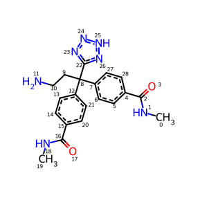 CNC(=O)c1ccc(C(CCN)(c2ccc(C(=O)NC)cc2)c2nn[nH]n2)cc1